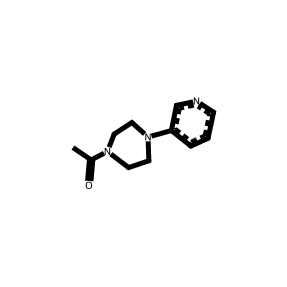 CC(=O)N1CCN(c2cccnc2)CC1